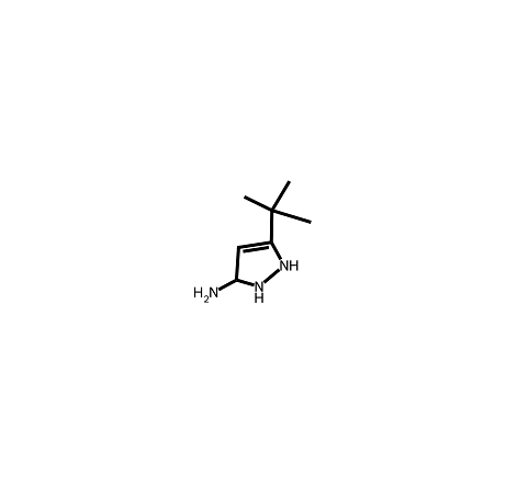 CC(C)(C)C1=CC(N)NN1